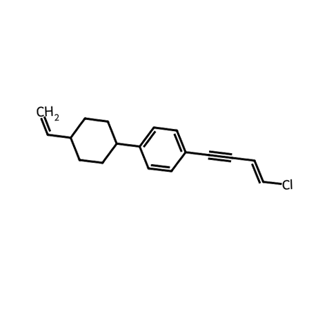 C=CC1CCC(c2ccc(C#CC=CCl)cc2)CC1